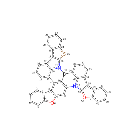 c1ccc2c(c1)oc1cc3c4c(c12)-c1cccc2c5c6ccccc6sc5n(c12)B4c1cccc2c4c5ccccc5oc4n-3c12